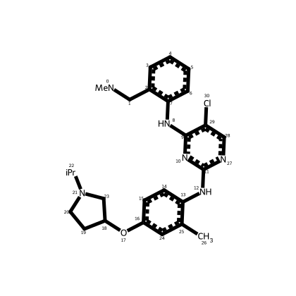 CNCc1ccccc1Nc1nc(Nc2ccc(OC3CCN(C(C)C)C3)cc2C)ncc1Cl